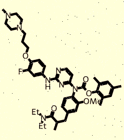 CCN(CC)C(=O)C(C)Cc1ccc(N(C(=O)Oc2c(C)cc(C)cc2C)c2ccnc(Nc3ccc(OCCCN4CCN(C)CC4)c(F)c3)n2)c(OC)c1